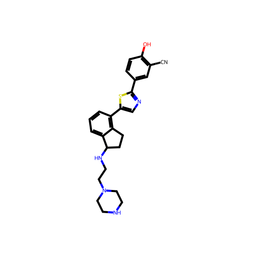 N#Cc1cc(-c2ncc(-c3cccc4c3CCC4NCCN3CCNCC3)s2)ccc1O